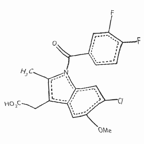 COc1cc2c(CC(=O)O)c(C)n(C(=O)c3ccc(F)c(F)c3)c2cc1Cl